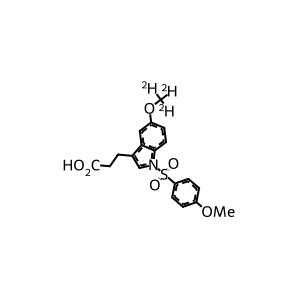 [2H]C([2H])([2H])Oc1ccc2c(c1)c(CCC(=O)O)cn2S(=O)(=O)c1ccc(OC)cc1